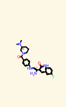 CN(C)[C@H]1CCCN(C(=O)c2ccc(N/C=C(\N)c3cc4cc(F)ccc4[nH]c3=O)cc2)C1